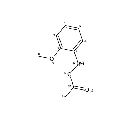 COc1ccccc1NOC(C)=O